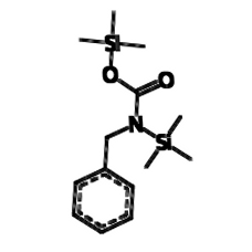 C[Si](C)(C)OC(=O)N(Cc1ccccc1)[Si](C)(C)C